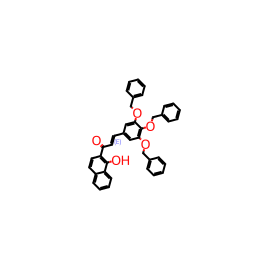 O=C(/C=C/c1cc(OCc2ccccc2)c(OCc2ccccc2)c(OCc2ccccc2)c1)c1ccc2ccccc2c1O